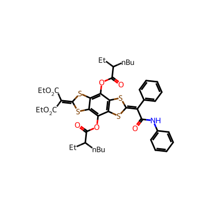 CCCCC(CC)C(=O)Oc1c2c(c(OC(=O)C(CC)CCCC)c3c1SC(=C(C(=O)Nc1ccccc1)c1ccccc1)S3)SC(=C(C(=O)OCC)C(=O)OCC)S2